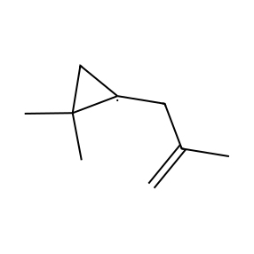 C=C(C)C[C]1CC1(C)C